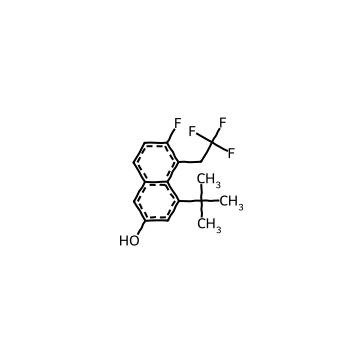 CC(C)(C)c1cc(O)cc2ccc(F)c(CC(F)(F)F)c12